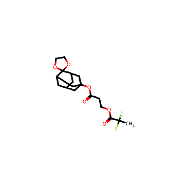 CC(F)(F)C(=O)OCCC(=O)OC12CC3CC(C1)C1(OCCO1)C(C3)C2